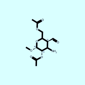 CO[C@@H]1OC(COC(C)=O)[C@@H](C=O)C(N)[C@@H]1OC(C)=O